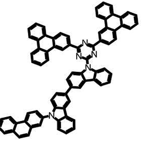 c1ccc2c(c1)ccc1cc(-n3c4ccccc4c4cc(-c5ccc6c(c5)c5ccccc5n6-c5nc(-c6ccc7c8ccccc8c8ccccc8c7c6)nc(-c6ccc7c8ccccc8c8ccccc8c7c6)n5)ccc43)ccc12